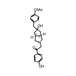 COc1ccc(CC2(O)C[C@H]3CN(CC(=O)c4ccc(O)cc4)C[C@H]3C2)cc1